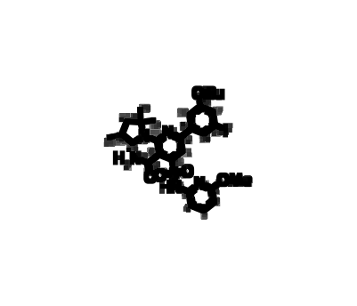 COc1cccc(NS(=O)(=O)c2cc(-c3cc(F)cc(OCC(C)C)c3)nc(N3C[C@@H](C)CC3(C)C)c2C(N)=O)n1